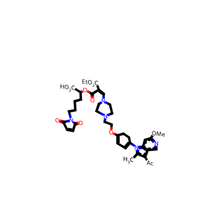 CCOC(=O)/C(=C/N1CCN(CCOC2=CC=C(n3c(C)c(C(C)=O)c4cnc(OC)cc43)CC2)CC1)C(=O)OC(CCCCN1C(=O)C=CC1=O)C(=O)O